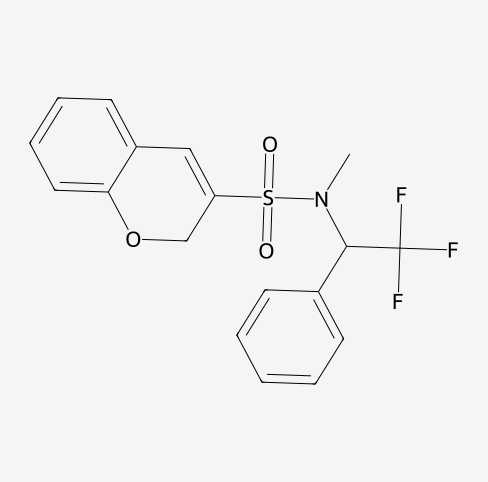 CN(C(c1ccccc1)C(F)(F)F)S(=O)(=O)C1=Cc2ccccc2OC1